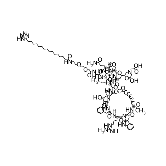 CCCC[C@H](NC(=O)[C@H](CCCCN(CC(=O)O)CC(=O)O)NC(=O)[C@H](CO)NC(=O)[C@H](CCC(N)=O)NC(=O)[C@H](CO)NC(=O)CNC(=O)COCCOCCNC(=O)CCCCCCCCCCCCCCCc1nnn[nH]1)C(=O)N[C@H]1CCC(=O)CCCCC[C@@H](C(C)=O)NC(=O)[C@H](Cc2c[nH]c3ccccc23)NC(=O)[C@H](CCCNC(=N)N)NC(=O)[C@@H](Cc2ccccc2)NC(=O)[C@@H]2C[C@@H](O)CN2C1=O